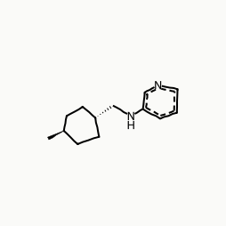 C[C@H]1CC[C@H](CNc2cccnc2)CC1